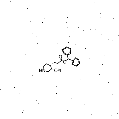 O=C(CC[C@H]1CCNC[C@H]1O)OC(c1ccccc1)c1ccccc1